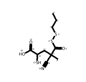 CCCSSC(=O)C(C)(C#N)CC(S)C(=O)O